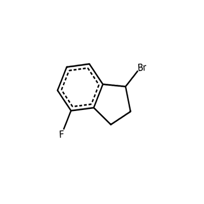 Fc1cccc2c1CCC2Br